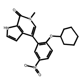 Cn1cc(-c2cc([N+](=O)[O-])ccc2OC2CCCCC2)c2cc[nH]c2c1=O